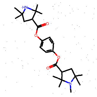 CN1C(C)(C)CC(C(=O)Oc2ccc(OC(=O)C3CC(C)(C)NC3(C)C)cc2)C1(C)C